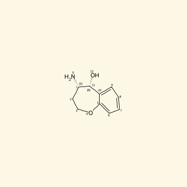 N[C@H]1CCOc2ccccc2[C@H]1O